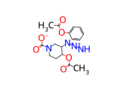 CC(=O)OC1CCN(C(=O)[O-])CC1N=[N+]=N.CC(=O)Oc1ccccc1